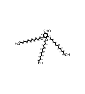 O=Cc1cc(OCCCCCCCCCCCO)c(OCCCCCCCCCCCO)c(OCCCCCCCCCCCO)c1